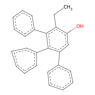 CCc1c(O)cc(-c2ccccc2)c(-c2ccccc2)c1-c1ccccc1